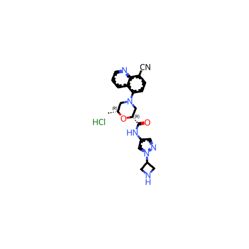 C[C@@H]1CN(c2ccc(C#N)c3ncccc23)C[C@H](C(=O)Nc2cnn(C3CNC3)c2)O1.Cl